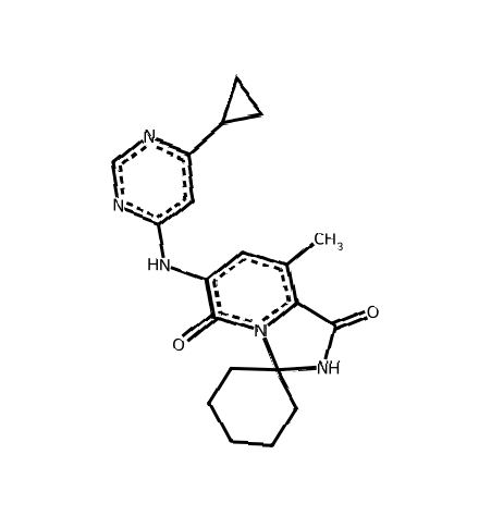 Cc1cc(Nc2cc(C3CC3)ncn2)c(=O)n2c1C(=O)NC21CCCCC1